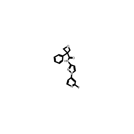 O=C(Nc1ccn(-c2ccnc(F)c2)n1)C1(c2ccccc2)COC1